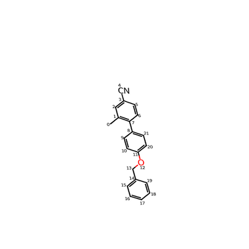 Cc1cc(C#N)ccc1-c1ccc(OCc2ccccc2)cc1